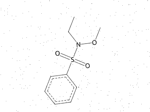 CCN(OC)S(=O)(=O)c1[c]cccc1